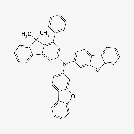 CC1(C)c2ccccc2-c2cc(N(c3ccc4c(c3)oc3ccccc34)c3ccc4c(c3)oc3ccccc34)cc(-c3ccccc3)c21